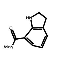 CNC(=O)c1cccc2c1NCC2